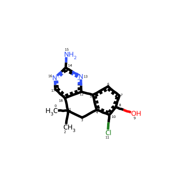 CC1(C)Cc2c(ccc(O)c2Cl)-c2nc(N)ncc21